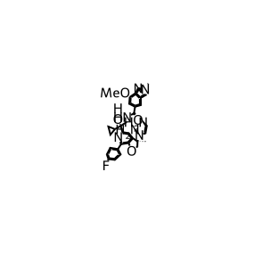 COc1cc(C(=O)NC[C@](O)(c2cc3c(c(-c4ccc(F)cc4)n2)OC[C@]3(C)N(N)/C=C\N)C2CC2)cc2cn(C)nc12